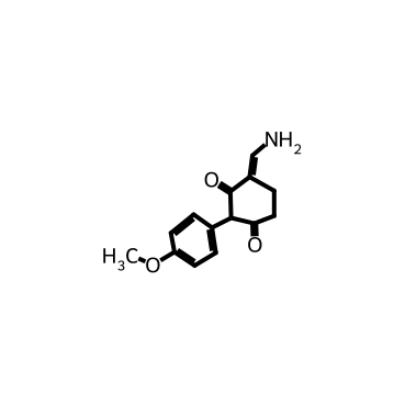 COc1ccc(C2C(=O)CCC(=CN)C2=O)cc1